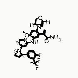 C=C(C(N)=O)c1cc(Nc2cc(N3OCC[C@@H]3c3ccc(F)c(C(F)(F)F)c3)ncn2)c(OC)cc1N1C[C@@H]2C[C@H]1CO2